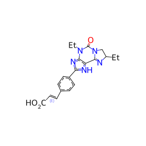 CCC1CN2C(=O)N(CC)c3nc(-c4ccc(/C=C/C(=O)O)cc4)[nH]c3C2=N1